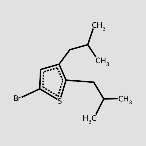 CC(C)Cc1cc(Br)sc1CC(C)C